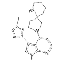 Cc1cnc(-c2c[nH]c3nccc(N4CCC5(CCCCN5)C4)c23)s1